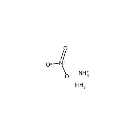 O=[N+]([O-])[O-].[InH3].[NH4+]